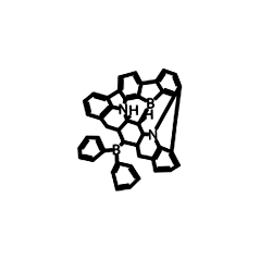 c1ccc(B(c2ccccc2)C2C3Cc4cccc5c6ccc7c8c6n(c45)C3[C@H]3B8c4c-7ccc5c6cccc7c6n(c45)[C@H]3C2C7)cc1